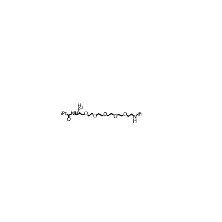 CC(C)NCCOCCOCCOCCOCCOCC(P)CNC(=O)C(C)C